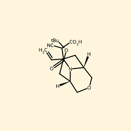 C=CC1(C(C#N)C(=O)O)C[C@H]2COC[C@@H](C1)N2C(=O)OC(C)(C)C